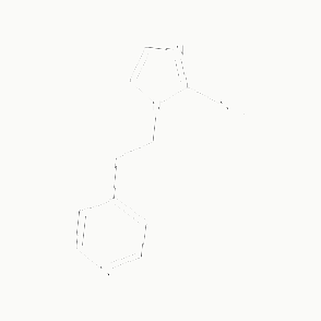 Nc1nccn1CCc1ccncc1